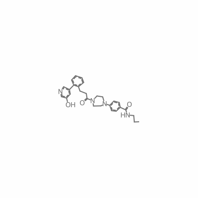 CCCNC(=O)c1ccc(N2CCN(C(=O)CCc3ccccc3-c3cncc(O)c3)CC2)cc1